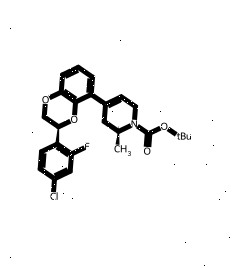 C[C@H]1CC(c2cccc3c2O[C@@H](c2ccc(Cl)cc2F)CO3)=CCN1C(=O)OC(C)(C)C